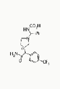 C[C](C)C(NC(=O)O)N1CC[C@H](C(C(N)=O)c2ccc(C(F)(F)F)cc2)C1